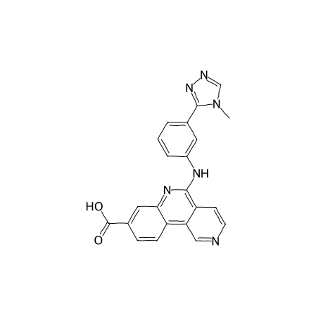 Cn1cnnc1-c1cccc(Nc2nc3cc(C(=O)O)ccc3c3cnccc23)c1